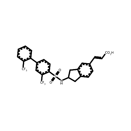 O=C(O)C=Cc1ccc2c(c1)CC(NS(=O)(=O)c1ccc(-c3ccccc3C(F)(F)F)cc1C(F)(F)F)C2